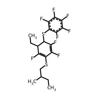 CCC(C)CSC1=C(F)C(CC)C(Sc2c(F)c(F)c(F)c(F)c2F)C(F)=C1F